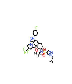 CN([C@H]1CCC2=Cc3c(cnn3-c3ccc(F)cc3)C[C@]2(C(=O)c2cc(C(F)(F)F)ccn2)C1)S(=O)(=O)c1cnn(CC2CC2)c1